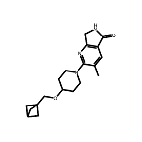 Cc1cc2c(nc1N1CCC(OCC34CC(C3)C4)CC1)CNC2=O